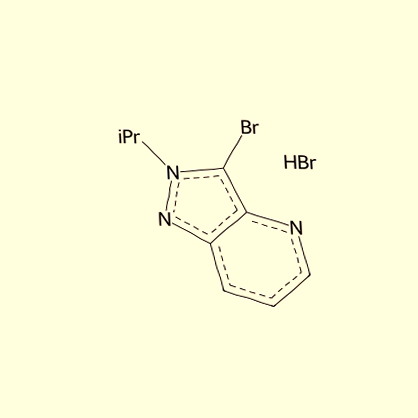 Br.CC(C)n1nc2cccnc2c1Br